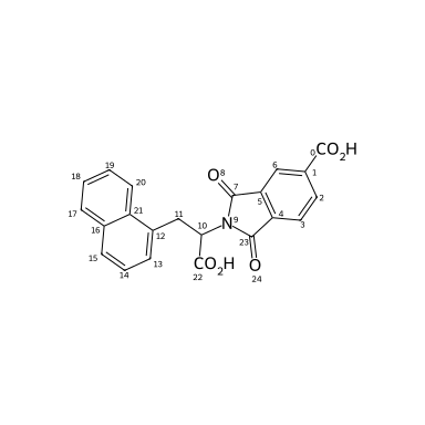 O=C(O)c1ccc2c(c1)C(=O)N(C(Cc1cccc3ccccc13)C(=O)O)C2=O